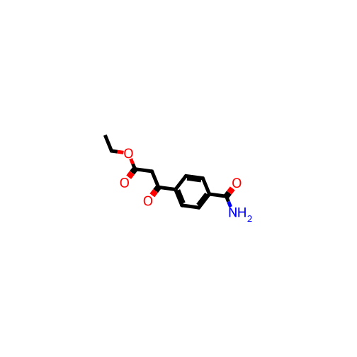 CCOC(=O)CC(=O)c1ccc(C(N)=O)cc1